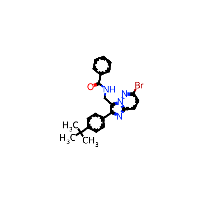 CC(C)(C)c1ccc(-c2nc3ccc(Br)nn3c2CNC(=O)c2ccccc2)cc1